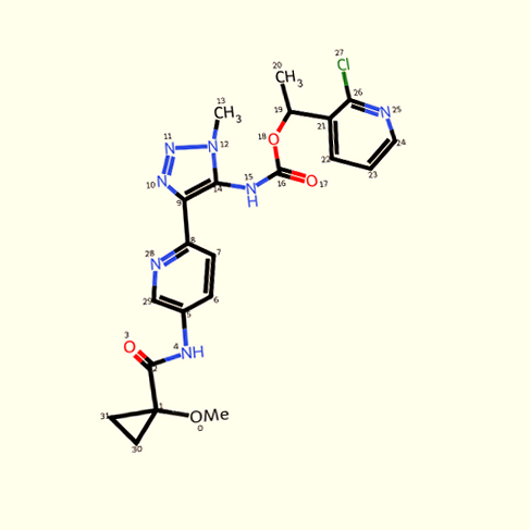 COC1(C(=O)Nc2ccc(-c3nnn(C)c3NC(=O)OC(C)c3cccnc3Cl)nc2)CC1